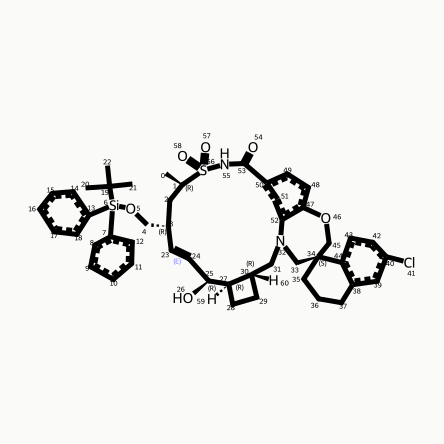 C[C@@H]1C[C@@H](CO[Si](c2ccccc2)(c2ccccc2)C(C)(C)C)/C=C/[C@H](O)[C@@H]2CC[C@H]2CN2C[C@@]3(CCCc4cc(Cl)ccc43)COc3ccc(cc32)C(=O)NS1(=O)=O